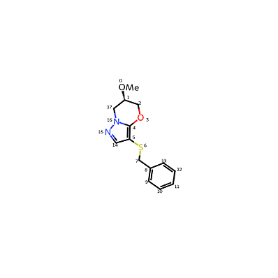 CO[C@H]1COc2c(SCc3ccccc3)cnn2C1